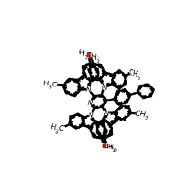 Cc1ccc2c(c1)c1cc(C)ccc1n2-c1nc(-n2c3ccc(C)cc3c3cc(C)ccc32)c(-n2c3ccc(C)cc3c3cc(C)ccc32)c(-c2ccc(-c3ccccc3)cc2)c1-n1c2ccc(C)cc2c2cc(C)ccc21